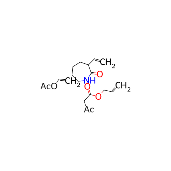 C=CC1CCCCNC1=O.C=CCOC(=O)CC(C)=O.C=COC(C)=O